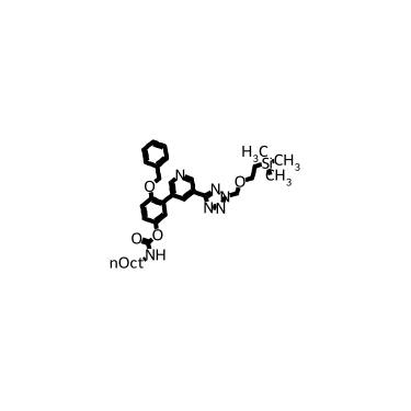 CCCCCCCCNC(=O)Oc1ccc(OCc2ccccc2)c(-c2cncc(-c3nnn(COCC[Si](C)(C)C)n3)c2)c1